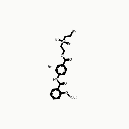 CCCCCCCCOc1ccccc1C(=O)Nc1ccc(C(=O)OCC[N+](CC)(CC)CCC(C)C)cc1.[Br-]